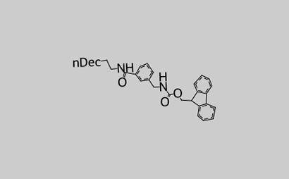 CCCCCCCCCCCCNC(=O)c1cccc(CNC(=O)OCC2c3ccccc3-c3ccccc32)c1